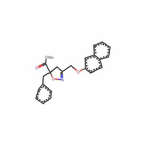 COC(=O)C1(Cc2ccccc2)CC(COc2ccc3ccccc3c2)=NO1